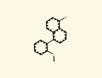 CSc1ccccc1-c1cccc2c(Br)cccc12